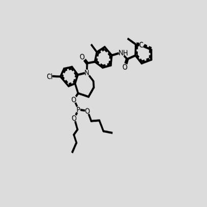 CCCCOP(OCCCC)OC1CCCN(C(=O)c2ccc(NC(=O)c3ccccc3C)cc2C)c2ccc(Cl)cc21